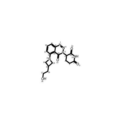 O=C1CCC(n2nnc3cccc(N4CC(CCO)C4)c3c2=O)C(=O)N1